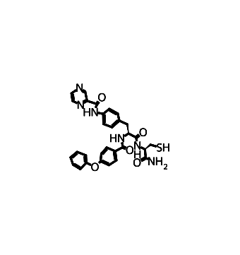 NC(=O)[C@H](CS)NC(=O)[C@H](Cc1ccc(NC(=O)c2cnccn2)cc1)NC(=O)c1ccc(Oc2ccccc2)cc1